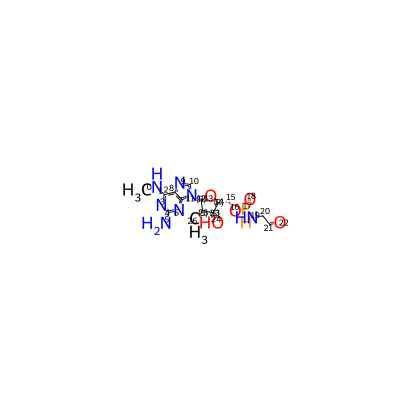 CNc1nc(N)nc2c1ncn2[C@@H]1O[C@H](CO[PH](=O)NCC=O)[C@@H](O)[C@@H]1C